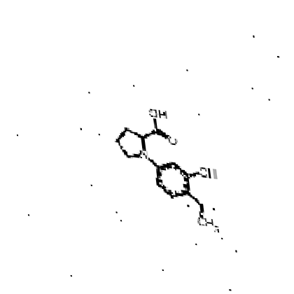 CCc1ccc(N2CCCC2C(=O)O)cc1O